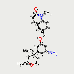 COC1(c2cc(N)cc(OCc3ccc4c(ccc(=O)n4C)c3)c2)CCOC(C)C1